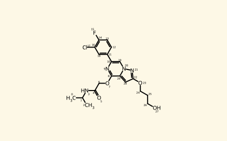 CC(C)NC(=O)COc1nc(-c2ccc(F)c(Cl)c2)cn2nc(OCCCO)cc12